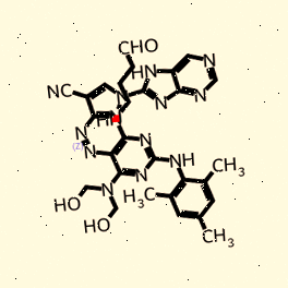 Cc1cc(C)c(Nc2nc(NCCCC=O)c(/N=N\c3nn(-c4nc5ncncc5[nH]4)cc3C#N)c(N(CO)CO)n2)c(C)c1